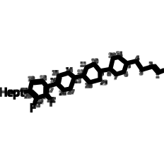 C/C=C/CCC1CCC(C2CCC(C3CC=C(c4ccc(CCCCCCC)c(F)c4F)CC3)CC2)CC1